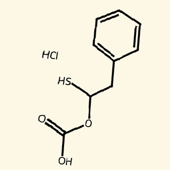 Cl.O=C(O)OC(S)Cc1ccccc1